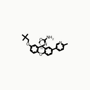 Cc1ccc(-c2ccc3c(c2)[C@@]2(COC(N)=N2)c2cc(OCC(C)(C)C)ccc2O3)cn1